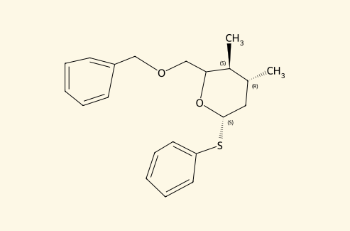 C[C@@H]1C[C@H](Sc2ccccc2)OC(COCc2ccccc2)[C@H]1C